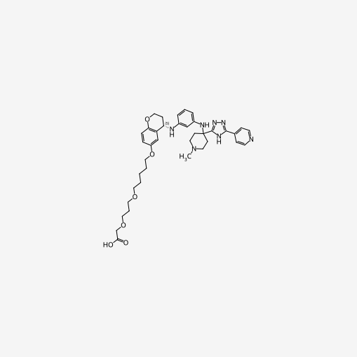 CN1CCC(Nc2cccc(N[C@H]3CCOc4ccc(OCCCCCOCCCOCC(=O)O)cc43)c2)(c2nnc(-c3ccncc3)[nH]2)CC1